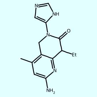 CCC1C(=O)N(c2cnc[nH]2)Cc2c(C)cc(N)nc21